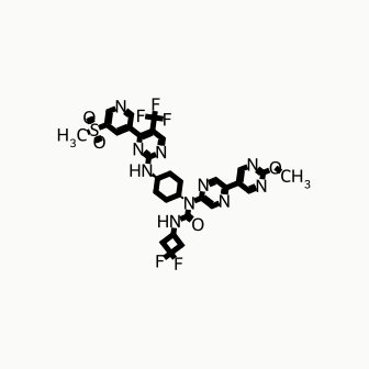 COc1ncc(-c2cnc(N(C(=O)NC3CC(F)(F)C3)[C@H]3CC[C@H](Nc4ncc(C(F)(F)F)c(-c5cncc(S(C)(=O)=O)c5)n4)CC3)cn2)cn1